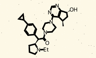 CCN1CCC[C@H]1C(C(=O)N1CCN(c2ncnc3c2[C@H](C)C[C@H]3O)CC1)c1ccc(C2CC2)cc1